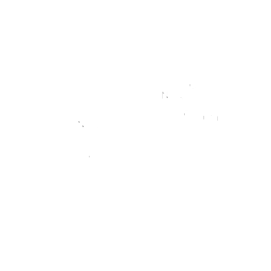 C[C@@H](COCc1ccccc1)N1CCC(CC2CCN(C(=O)OC(C)(C)C)CC2)CC1